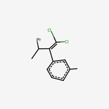 Cc1cccc(C(=C(Cl)Cl)C(C)C(C)C)c1